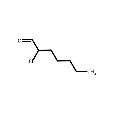 CCCCCC(Cl)C=O